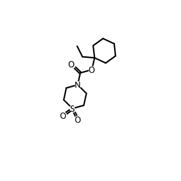 CCC1(OC(=O)N2CCS(=O)(=O)CC2)CCCCC1